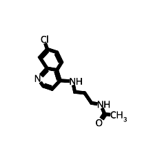 CC(=O)NCCCNc1ccnc2cc(Cl)ccc12